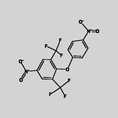 O=[N+]([O-])c1ccc(Oc2c(C(F)(F)F)cc([N+](=O)[O-])cc2C(F)(F)F)cc1